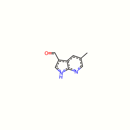 Cc1cnc2[nH]cc(C=O)c2c1